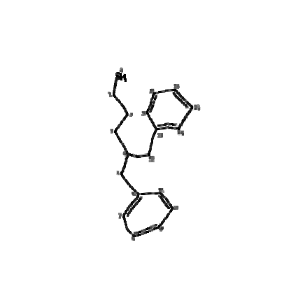 SCCCC(Cc1ccccc1)Cc1ccccc1